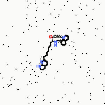 COC(=O)[C@H](CCCCCCCc1ccc2c(n1)NCCC2)NCc1cccc2cccnc12